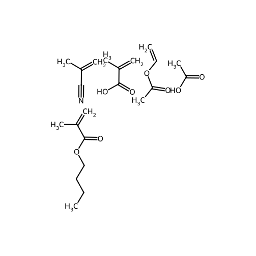 C=C(C)C#N.C=C(C)C(=O)O.C=C(C)C(=O)OCCCC.C=COC(C)=O.CC(=O)O